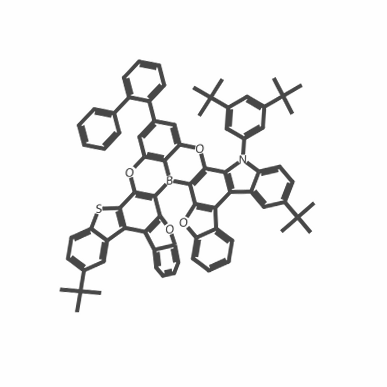 CC(C)(C)c1cc(-n2c3ccc(C(C)(C)C)cc3c3c4c(oc5ccccc54)c4c(c32)Oc2cc(-c3ccccc3-c3ccccc3)cc3c2B4c2c(c4sc5ccc(C(C)(C)C)cc5c4c4c2oc2ccccc24)O3)cc(C(C)(C)C)c1